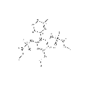 CCCc1cc(OP(C)(=O)OCC)c(C2C=C(C)CCC2)c(OP(C)(=O)OCC)c1